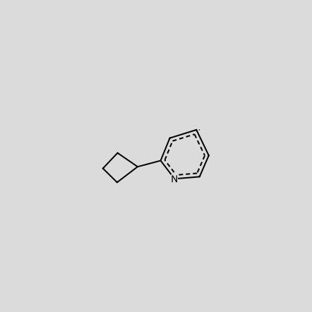 [c]1ccnc(C2CCC2)c1